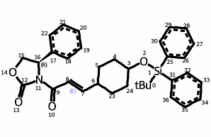 CC(C)(C)[Si](OC1CCC(/C=C/C(=O)N2C(=O)OC[C@H]2c2ccccc2)CC1)(c1ccccc1)c1ccccc1